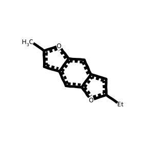 CCc1cc2cc3oc(C)cc3cc2o1